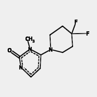 Cn1c(N2CCC(F)(F)CC2)ccnc1=O